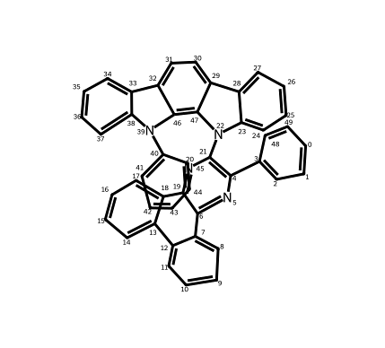 c1ccc(-c2nc3c4ccccc4c4ccccc4c3nc2-n2c3ccccc3c3ccc4c5ccccc5n(-c5ccccc5)c4c32)cc1